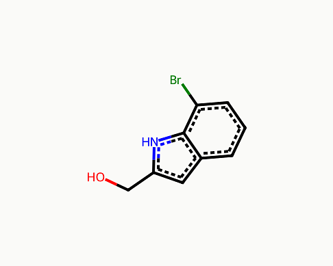 OCc1cc2cccc(Br)c2[nH]1